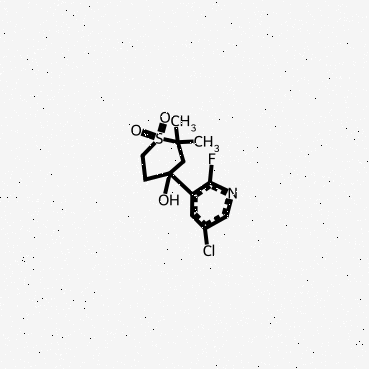 CC1(C)CC(O)(c2cc(Cl)cnc2F)CCS1(=O)=O